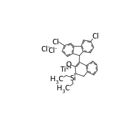 CC[Si](CC)=C1Cc2ccccc2C(C2c3ccc(Cl)cc3-c3cc(Cl)ccc32)=C1[O][Ti+2].[Cl-].[Cl-]